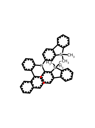 C[Si]1(C)c2ccccc2-c2ccc(N(c3ccccc3-c3cccc4ccccc34)c3cccc4c3[Si](C)(C)c3ccccc3-4)cc21